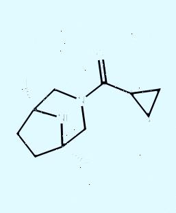 O=C(C1CC1)N1C[C@H]2CC[C@@H](C1)N2